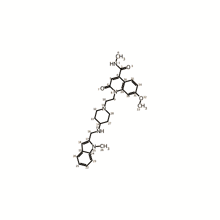 CNC(=O)c1cc(=O)n(CCN2CCC(NCc3cc4ccccc4n3C)CC2)c2cc(OC)ccc12